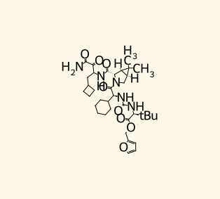 CC(C)(C)[C@H](NC(=O)N[C@H](C(=O)N1C[C@H]2[C@@H]([C@H]1C(=O)NC(CC1CCC1)C(=O)C(N)=O)C2(C)C)C1CCCCC1)C(=O)OCc1ccco1